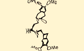 COc1cc2c(cc1OC)CC(=O)N(CCC(=N)N(C)C[C@H]1Cc3cc(OC)c(OC)cc31)CC2